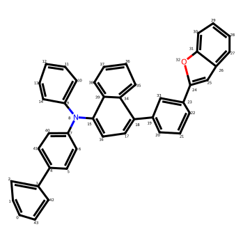 c1ccc(-c2ccc(N(c3ccccc3)c3ccc(-c4cccc(-c5cc6ccccc6o5)c4)c4ccccc34)cc2)cc1